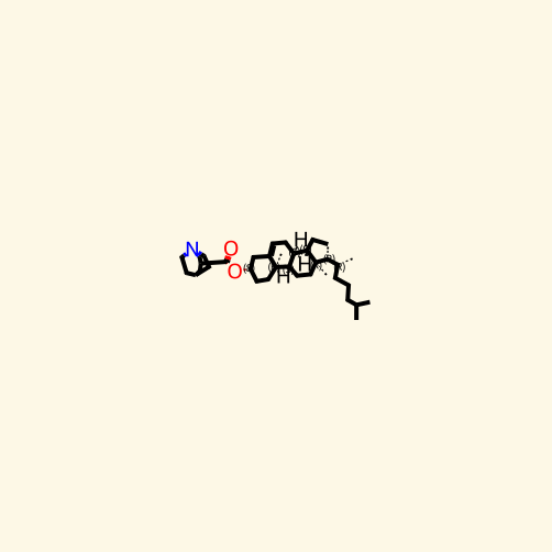 CC(C)CCC[C@@H](C)[C@H]1CC[C@H]2[C@@H]3CC=C4C[C@@H](OC(=O)C5CC6CCN(CC6)C5)CC[C@]4(C)[C@H]3CC[C@]12C